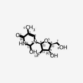 CC1=CN([C@H]2O[C@@H](CO)[C@@H](O)C2F)C(O)NC1=O